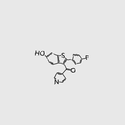 O=C(c1ccncc1)c1c(-c2ccc(F)cc2)sc2cc(O)ccc12